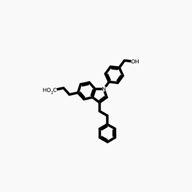 O=C(O)CCc1ccc2c(c1)c(CCc1ccccc1)cn2-c1ccc(CO)cc1